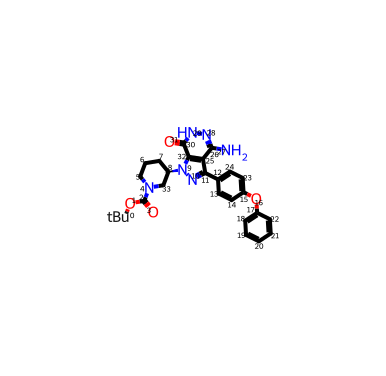 CC(C)(C)OC(=O)N1CCC[C@@H](n2nc(-c3ccc(Oc4ccccc4)cc3)c3c(N)n[nH]c(=O)c32)C1